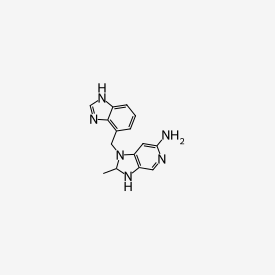 CC1Nc2cnc(N)cc2N1Cc1cccc2[nH]cnc12